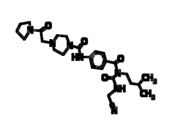 CC(C)CCN(C(=O)NCC#N)C(=O)c1ccc(NC(=O)N2CCN(CC(=O)N3CCCC3)CC2)cc1